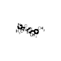 Cc1cccc(-c2ncc(NC(=O)c3cnccc3C)nc2C)c1